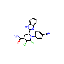 N#Cc1ccc(N2C(c3nc4ccccc4[nH]3)CC(C(N)=O)C(Cl)C2Cl)cc1